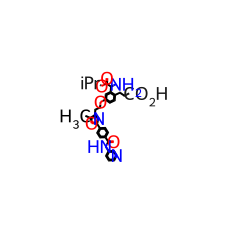 Cc1oc(-c2ccc(C(=O)Nc3cccnc3)cc2)nc1CCOc1ccc(CCC(=O)O)c(C(N)C(=O)OC(C)C)c1